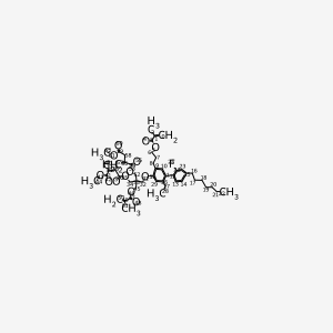 C=C(C)C(=O)OCCCc1cc(-c2ccc(CCCCCCC)cc2F)c(CC)cc1OCC(COC(=O)CC(=C)C(=O)OC)(COC(=O)C(=C)C)COC(=O)C(=C)CC(=O)OC